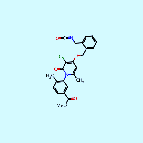 COC(=O)c1ccc(C)c(-n2c(C)cc(OCc3ccccc3CN=C=O)c(Cl)c2=O)c1